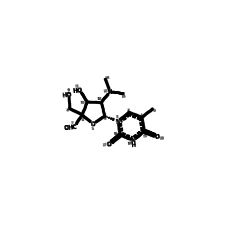 Cc1cn([C@@H]2OC(C=O)(CO)C(O)C2N(C)C)c(=O)[nH]c1=O